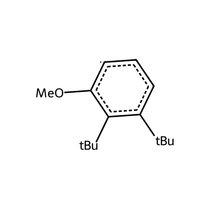 COc1[c]ccc(C(C)(C)C)c1C(C)(C)C